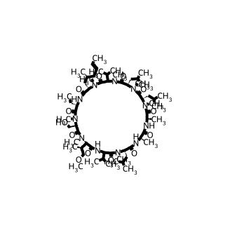 C/C=C/C[C@@H](C)C[C@H]1C(=O)N[C@@H](CC)C(=O)N(C)[C@H](CO)C(=O)N(C)[C@@H]([C@H](C)COC)C(=O)NC(C(C)C)C(=O)N(C)[C@@H](CC(C)C)C(=O)N[C@@H](C)C(=O)N[C@H](C)C(=O)N(C)[C@@H](CC(C)C)C(=O)N(C)[C@@H](CC(C)C)C(=O)N(C)C(C(C)C)C(=O)N1C